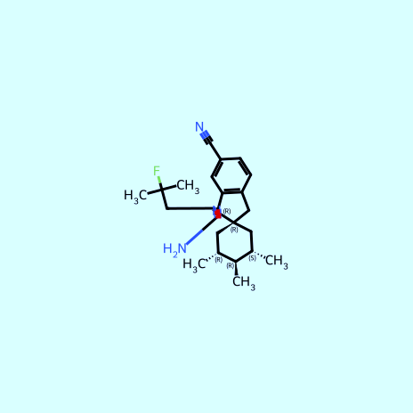 C[C@H]1[C@H](C)C[C@@]2(Cc3ccc(C#N)cc3[C@]23N=C(N)C(CC(C)(C)F)=N3)C[C@@H]1C